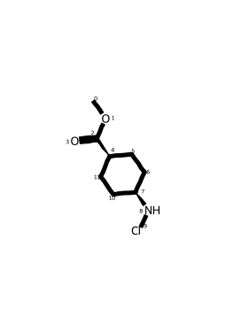 COC(=O)[C@H]1CC[C@@H](NCl)CC1